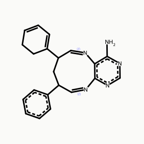 Nc1ncnc2c1/N=C\C(C1=CC=CCC1)CC(c1ccccc1)/C=N\2